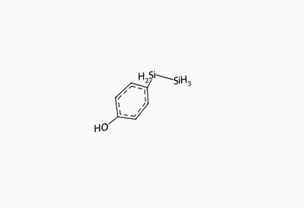 Oc1ccc([SiH2][SiH3])cc1